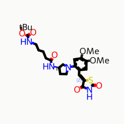 COc1cc(/C=C2\SC(=O)NC2=O)c(N2CC[C@@H](NC(=O)CCCCNC(=O)OC(C)(C)C)C2)cc1OC